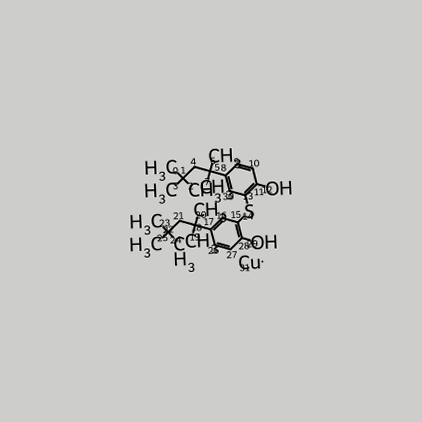 CC(C)(C)CC(C)(C)c1ccc(O)c(Sc2cc(C(C)(C)CC(C)(C)C)ccc2O)c1.[Cu]